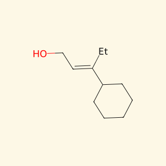 CCC(=CCO)C1CCCCC1